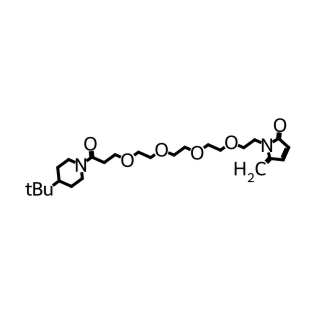 C=C1C=CC(=O)N1CCOCCOCCOCCOCCC(=O)N1CCC(C(C)(C)C)CC1